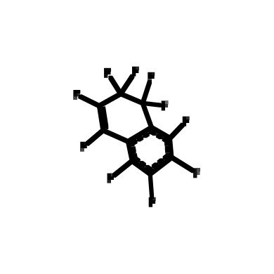 FC1=C(F)C(F)(F)C(F)(F)c2c(F)c(F)c(F)c(F)c21